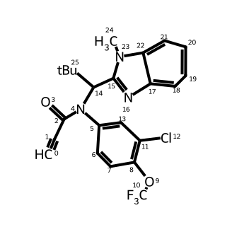 C#CC(=O)N(c1ccc(OC(F)(F)F)c(Cl)c1)C(c1nc2ccccc2n1C)C(C)(C)C